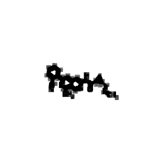 C=NC[C@H]1C[C@@H]1C(=O)Nc1cc2cc(-c3ccccc3C#N)nc(N)c2cn1